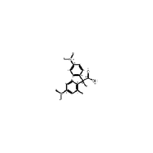 Cc1cc(N(C)C)ccc1C(C)(C(=O)O)c1ccc(N(C)C)cc1